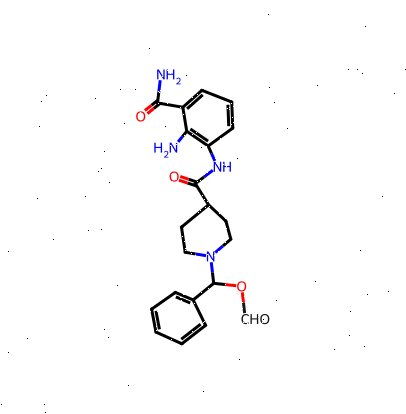 NC(=O)c1cccc(NC(=O)C2CCN(C(OC=O)c3ccccc3)CC2)c1N